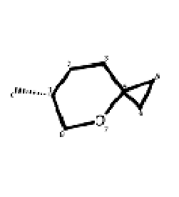 C[C@@H]1CCC2(CC2)OC1